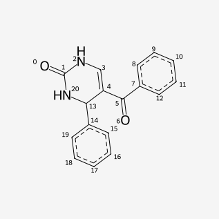 O=C1NC=C(C(=O)c2ccccc2)C(c2ccccc2)N1